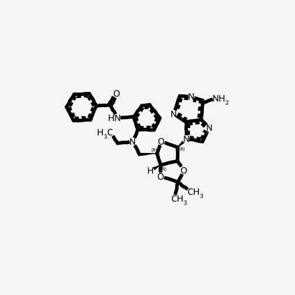 CCN(C[C@H]1O[C@@H](n2cnc3c(N)ncnc32)C2OC(C)(C)O[C@@H]21)c1ccccc1NC(=O)c1ccccc1